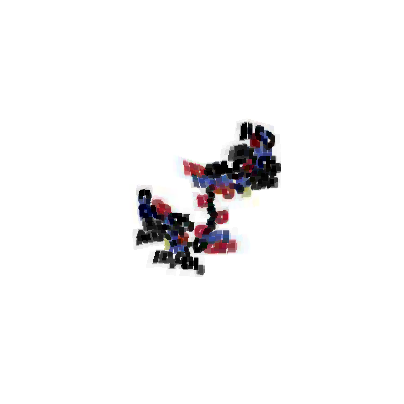 CC[C@H](C)[C@H](NC(=O)[C@H]1CCCCN1C)C(=O)N(C)C(C[C@@H](OC(C)=O)c1nc(C(=O)N[C@@H](Cc2ccc(O)c(NC(=O)CCC(=O)C#CC(=O)CCC(=O)Nc3cc(C[C@@H](CC(C)C(=O)O)NC(=O)c4csc([C@@H](CC(C(C)C)N(C)C(=O)[C@@H](NC(=O)[C@H]5CCCCN5C)[C@@H](C)CC)OC(C)=O)n4)ccc3O)c2)CC(C)C(=O)O)cs1)C(C)C